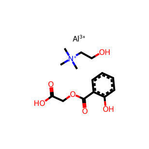 C[N+](C)(C)CCO.O=C(O)COC(=O)c1ccccc1O.[Al+3]